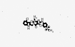 Cn1c(Nc2ccc(S(C)(=O)=O)cc2)nc2c1c(=O)n(Cc1cc3c(Cl)cccc3[nH]1)c(=O)n2C